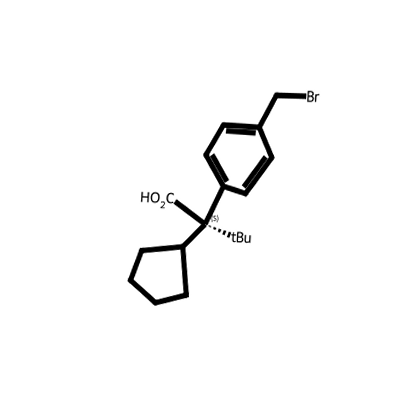 CC(C)(C)[C@](C(=O)O)(c1ccc(CBr)cc1)C1CCCC1